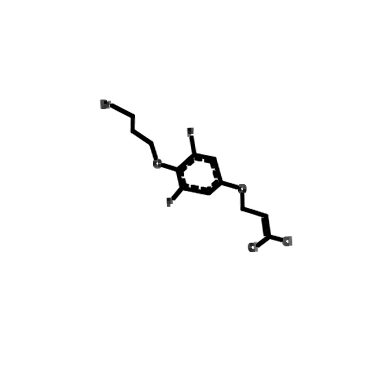 Fc1cc(OCC=C(Cl)Cl)cc(F)c1OCCCBr